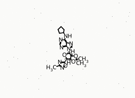 Cc1noc([C@H]2O[C@@H](n3cnc4c(NC5CCCC5)ncnc43)[C@@H]3OC(C)(C)O[C@H]32)n1